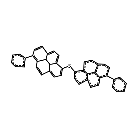 C1=CC2=C(c3ccccc3)C=CC3=CC=C4C(Sc5ccc6ccc7c(-c8ccccc8)ccc8ccc5c6c87)=CC=C1C4C32